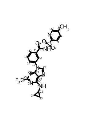 Cc1ccc(S(=O)(=O)NC(=O)c2cccc(-n3cnc4c(NC5CC5)nc(C(F)(F)F)nc43)c2)nc1